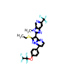 CCSc1nn2c(-c3ccc(OC(F)(F)C(F)F)cc3)ccnc2c1-c1nc2cc(C(F)(F)F)ncc2n1C